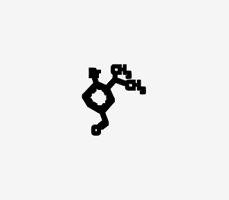 CC(C)c1cc(C=O)ccc1Br